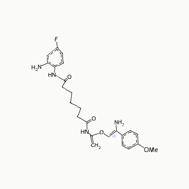 C=C(NC(=O)CCCCCC(=O)Nc1ccc(F)cc1N)O/C=C(\N)c1ccc(OC)cc1